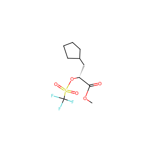 COC(=O)[C@@H](CC1CCCC1)OS(=O)(=O)C(F)(F)F